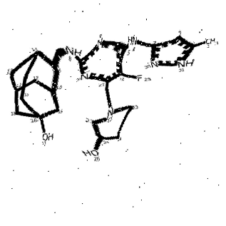 Cc1cc(Nc2nc(NC3C4CC5CC3CC(O)(C5)C4)nc(N3CCC(O)C3)c2F)n[nH]1